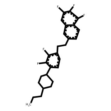 CCCC1CCC(c2ccc(CCc3ccc4c(F)c(F)c(F)cc4c3)c(F)c2F)CC1